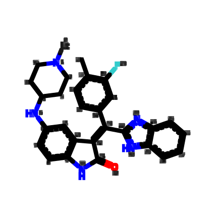 CCN1CCC(Nc2ccc3c(c2)C(=C(c2ccc(C)c(F)c2)c2nc4ccccc4[nH]2)C(=O)N3)CC1